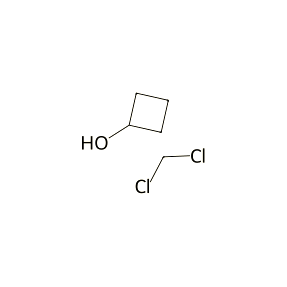 ClCCl.OC1CCC1